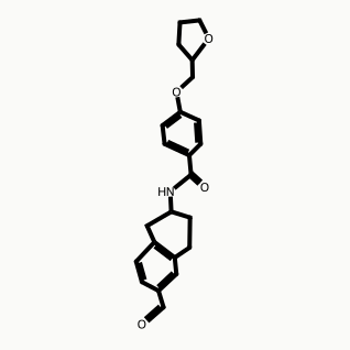 O=Cc1ccc2c(c1)CCC(NC(=O)c1ccc(OCC3CCCO3)cc1)C2